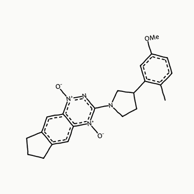 COc1ccc(C)c(C2CCN(c3n[n+]([O-])c4cc5c(cc4[n+]3[O-])CCC5)C2)c1